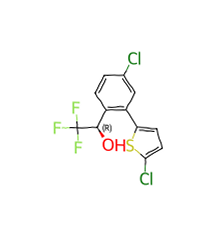 O[C@H](c1ccc(Cl)cc1-c1ccc(Cl)s1)C(F)(F)F